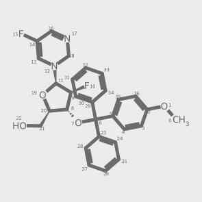 COc1ccc(C(O[C@H]2[C@H](F)[C@H](N3C=C(F)C=NC3)O[C@@H]2CO)(c2ccccc2)c2ccccc2)cc1